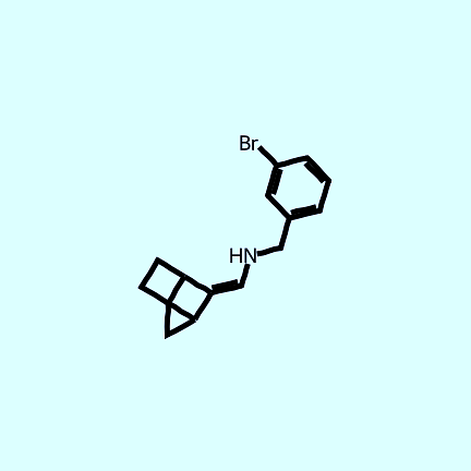 Brc1cccc(CN/C=C2\C3CCC34CC24)c1